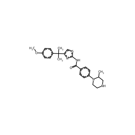 COc1ccc(C(C)(C)c2csc(NC(=O)c3ccc(N4CCNCC4C)cc3)n2)cc1